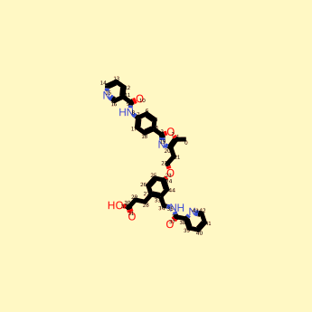 Cc1oc(-c2ccc(NC(=O)c3cccnc3)cc2)nc1CCOc1ccc(CCC(=O)O)c(CNC(=O)c2ccccn2)c1